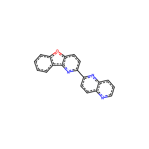 c1cnc2ccc(-c3ccc4oc5ccccc5c4n3)nc2c1